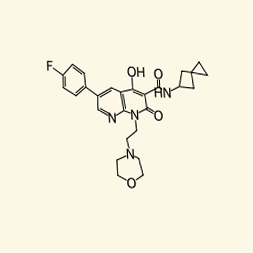 O=C(NC1CC2(CC2)C1)c1c(O)c2cc(-c3ccc(F)cc3)cnc2n(CCN2CCOCC2)c1=O